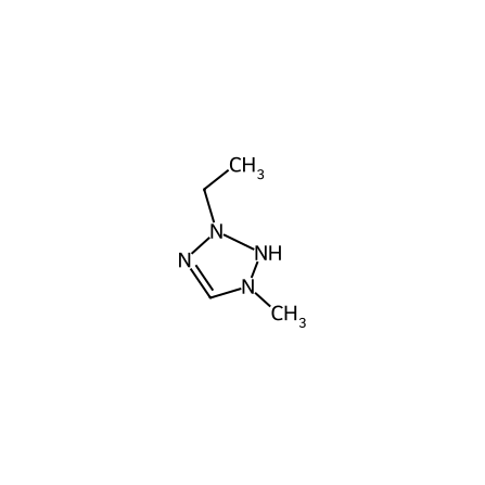 CCN1N=CN(C)N1